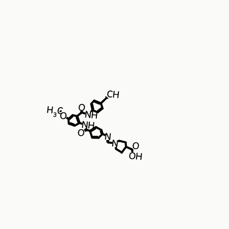 C#Cc1ccc(NC(=O)c2cc(OC)ccc2NC(=O)c2ccc(N=CN3CCC(C(=O)O)CC3)cc2)cc1